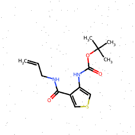 C=CCNC(=O)c1cscc1NC(=O)OC(C)(C)C